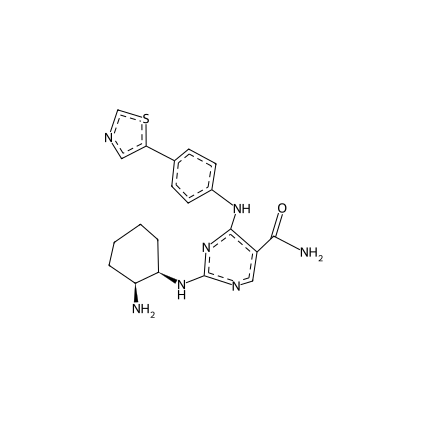 NC(=O)c1cnc(N[C@@H]2CCCC[C@@H]2N)nc1Nc1ccc(-c2cncs2)cc1